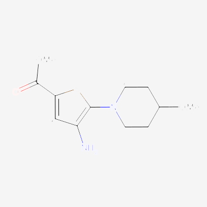 COC(=O)c1cc(N)c(N2CCC(OC)CC2)s1